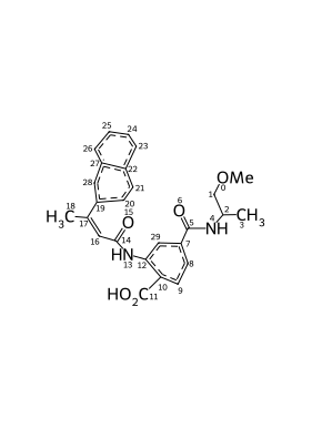 COCC(C)NC(=O)c1ccc(C(=O)O)c(NC(=O)/C=C(/C)c2ccc3ccccc3c2)c1